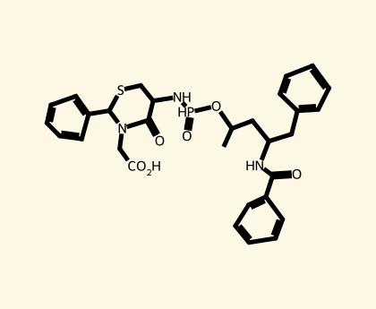 CC(CC(Cc1ccccc1)NC(=O)c1ccccc1)O[PH](=O)NC1CSC(c2ccccc2)N(CC(=O)O)C1=O